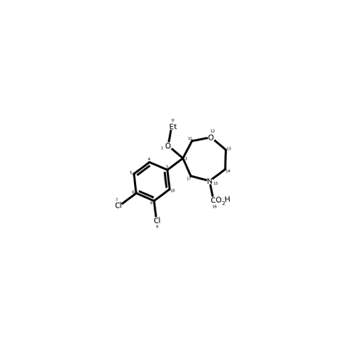 CCOC1(c2ccc(Cl)c(Cl)c2)COCCN(C(=O)O)C1